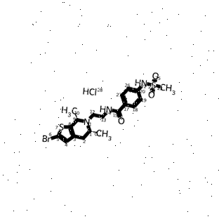 C[C@@H]1Cc2cc(Br)sc2[C@H](C)N1CCNC(=O)c1ccc(NS(C)(=O)=O)cc1.Cl